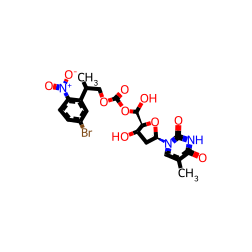 Cc1cn([C@H]2CC(O)[C@@H](C(O)OC(=O)OCC(C)c3cc(Br)ccc3[N+](=O)[O-])O2)c(=O)[nH]c1=O